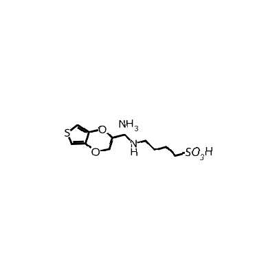 N.O=S(=O)(O)CCCCNCC1COc2cscc2O1